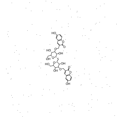 O=c1oc2ccc(O)cc2cc1COC1[C@@H](O)C(CO)O[C@@H](S[C@@H]2OC(CO)[C@H](O)[C@H](OCc3cc4cc(O)ccc4oc3=O)C2O)[C@@H]1O